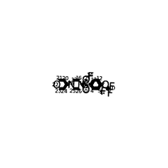 O=S(=O)(c1ccc(OC(F)(F)F)cc1F)N1CCN(C2CCOCC2)CC1